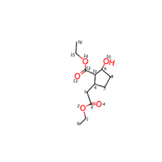 CCOC(=O)CC1CCC(O)C1C(=O)OCC